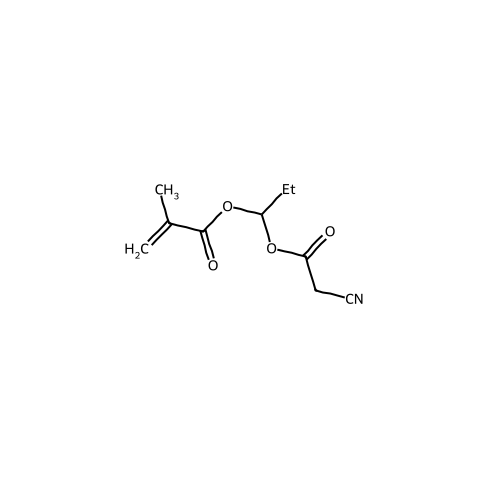 C=C(C)C(=O)OC(CC)OC(=O)CC#N